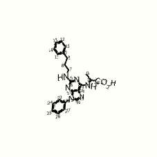 CC(Nc1nc(NCCCc2ccccc2)nc2c1ncn2-c1ccccc1)C(=O)O